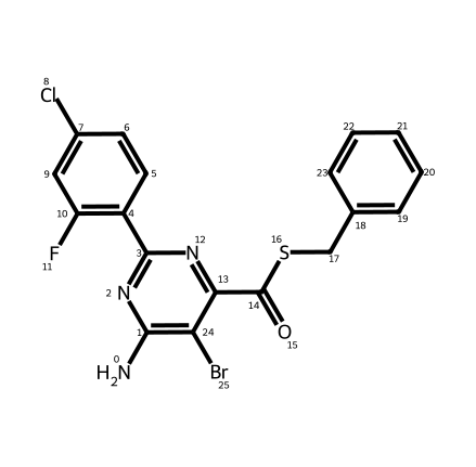 Nc1nc(-c2ccc(Cl)cc2F)nc(C(=O)SCc2ccccc2)c1Br